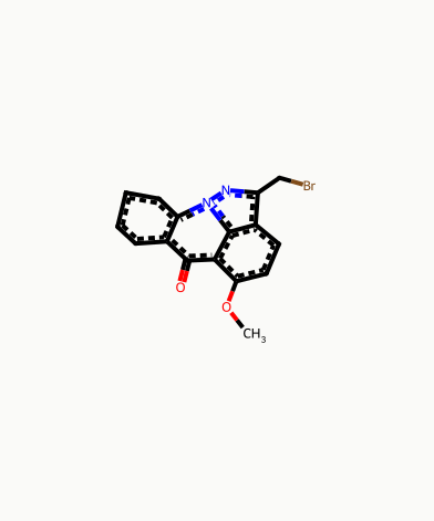 COc1ccc2c(CBr)nn3c4ccccc4c(=O)c1c23